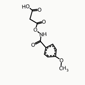 COc1ccc(C(=O)NOC(=O)CC(=O)O)cc1